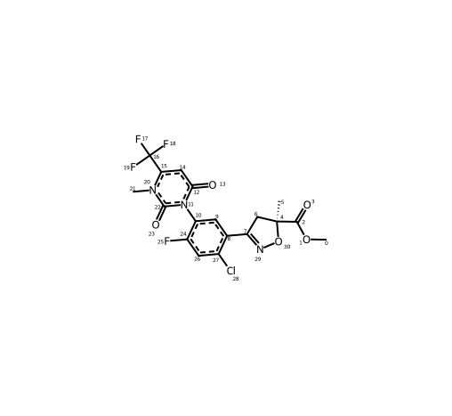 COC(=O)[C@]1(C)CC(c2cc(-n3c(=O)cc(C(F)(F)F)n(C)c3=O)c(F)cc2Cl)=NO1